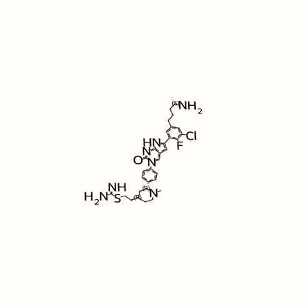 C[C@H](N)CCCc1cc(Cl)c(F)c(-c2cc3cn(-c4ccc([C@H]5C[C@H](CCSC(=N)N)CCN5C)cc4)c(=O)nc3[nH]2)c1